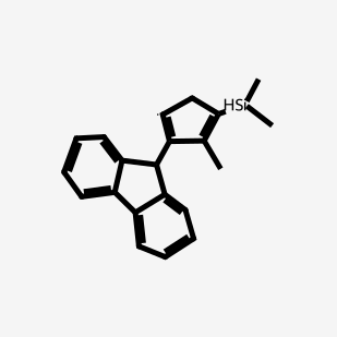 CC1=C([SiH](C)C)C[C]=C1C1c2ccccc2-c2ccccc21